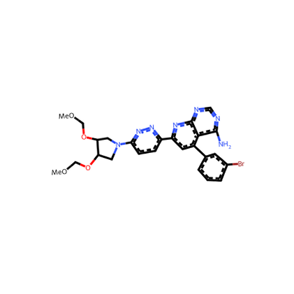 COCOC1CN(c2ccc(-c3cc(-c4cccc(Br)c4)c4c(N)ncnc4n3)nn2)CC1OCOC